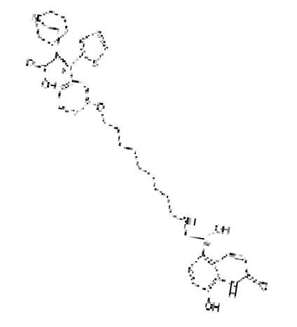 O=C(O)N(C1CN2CCC1CC2)[C@H](c1cccc(OCCCCCCCCCNC[C@H](O)c2ccc(O)c3[nH]c(=O)ccc23)c1)c1cccs1